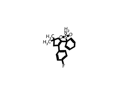 CC1(C)CC(c2ccc(F)cc2)=C(C2(S(N)(=O)=O)C=CCC=C2)C1